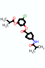 CC(C)C(=O)Nc1ccc(C(=O)Oc2cc(Cl)cc(OC(=O)C(C)C)c2)cc1